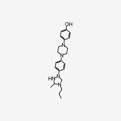 CCCN1CN(c2ccc(N3CCN(c4ccc(O)cc4)CC3)cc2)NC1C